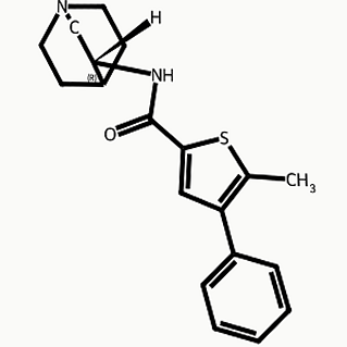 Cc1sc(C(=O)N[C@H]2CN3CCC2CC3)cc1-c1ccccc1